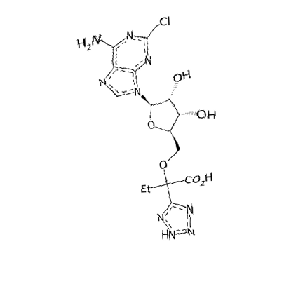 CCC(OC[C@H]1O[C@@H](n2cnc3c(N)nc(Cl)nc32)[C@H](O)[C@@H]1O)(C(=O)O)c1nn[nH]n1